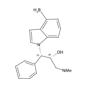 Bc1cccc2c1ccn2[C@@H](c1ccccc1)[C@H](O)CNC